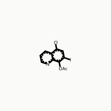 CC(=O)Oc1c(I)cc(Cl)c2cccnc12